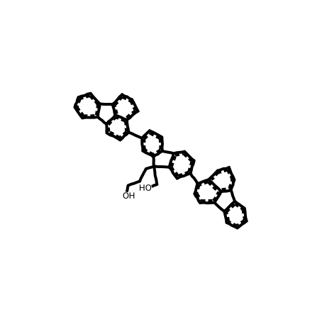 OCCCC1(CO)c2cc(-c3ccc4c5c(cccc35)-c3ccccc3-4)ccc2-c2ccc(-c3ccc4c5c(cccc35)-c3ccccc3-4)cc21